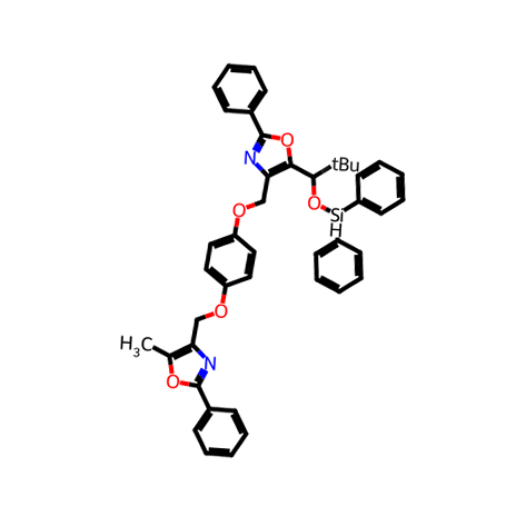 Cc1oc(-c2ccccc2)nc1COc1ccc(OCc2nc(-c3ccccc3)oc2C(O[SiH](c2ccccc2)c2ccccc2)C(C)(C)C)cc1